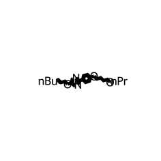 CCCCC=CCOc1cnc(-c2ccc(OCCCCOCCC)cc2)nc1